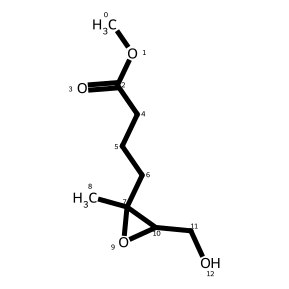 COC(=O)CCCC1(C)OC1CO